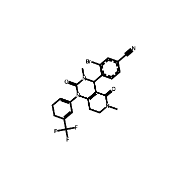 CN1CCC2=C(C1=O)C(c1ccc(C#N)cc1Br)N(C)C(=O)N2C1=CCCC(C(F)(F)F)=C1